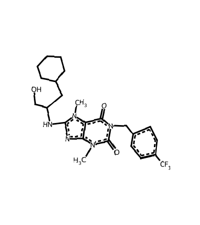 Cn1c(NC(CO)CC2CCCCC2)nc2c1c(=O)n(Cc1ccc(C(F)(F)F)cc1)c(=O)n2C